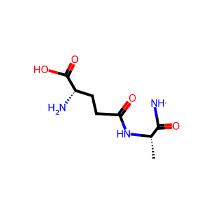 C[C@H](NC(=O)CC[C@H](N)C(=O)O)C([NH])=O